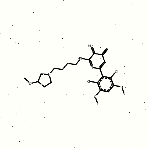 C=C1C=C(c2c(Cl)c(OC)cc(OC)c2Cl)N=C(NCCCCN2CCC(OC)C2)C1=N